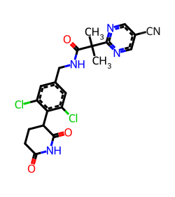 CC(C)(C(=O)NCc1cc(Cl)c(C2CCC(=O)NC2=O)c(Cl)c1)c1ncc(C#N)cn1